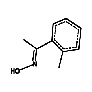 CC(=NO)c1ccccc1C